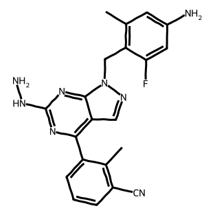 Cc1cc(N)cc(F)c1Cn1ncc2c(-c3cccc(C#N)c3C)nc(NN)nc21